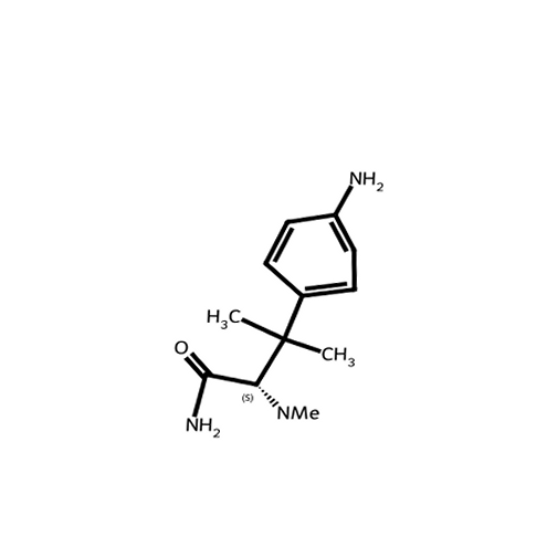 CN[C@H](C(N)=O)C(C)(C)c1ccc(N)cc1